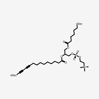 CCCCCCCCCCC#CC#CCCCCCCCCC(=O)OC(COC(=O)CCCCCCCCCCCCCCC)COP(=O)([O-])OCC[N+](C)(C)C